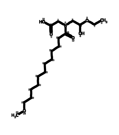 CCOC(O)CN(CC(=O)O)C(=O)CCCCCCCCCCCOC